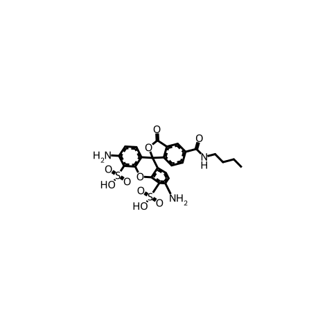 CCCCNC(=O)c1ccc2c(c1)C(=O)OC21c2ccc(N)c(S(=O)(=O)O)c2Oc2c1ccc(N)c2S(=O)(=O)O